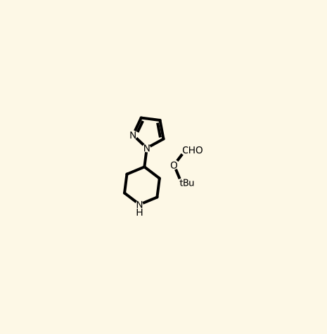 CC(C)(C)OC=O.c1cnn(C2CCNCC2)c1